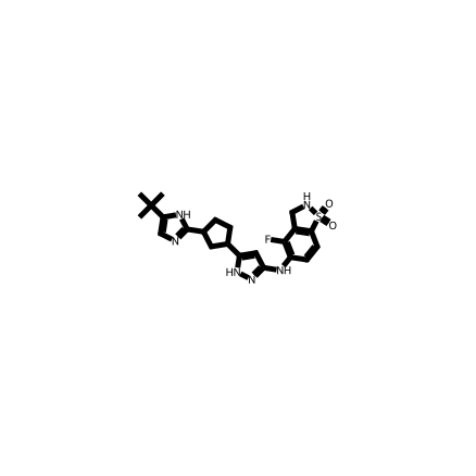 CC(C)(C)c1cnc(C2CCC(c3cc(Nc4ccc5c(c4F)CNS5(=O)=O)n[nH]3)C2)[nH]1